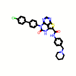 O=C(Nc1ccc(CN2CCCCC2)cc1)c1sc2ncnc3c2c1NC(=O)N3c1ccc(-c2ccc(Cl)cc2)cc1